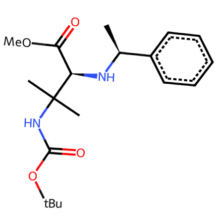 COC(=O)[C@@H](N[C@@H](C)c1ccccc1)C(C)(C)NC(=O)OC(C)(C)C